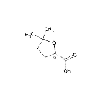 CC1(C)CC[C@@H](C(=O)O)O1